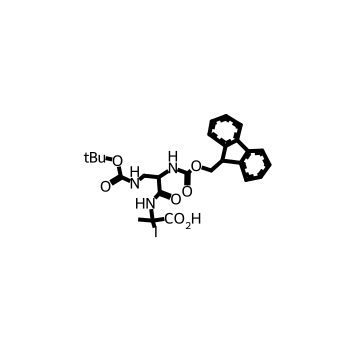 CC(C)(C)OC(=O)NCC(NC(=O)OCC1c2ccccc2-c2ccccc21)C(=O)NC(C)(I)C(=O)O